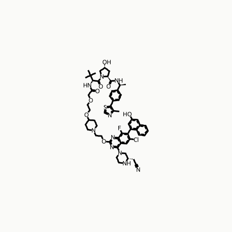 Cc1ncsc1-c1ccc([C@H](C)NC(=O)[C@@H]2C[C@@H](O)CN2C(=O)[C@@H](NC(=O)COCCOC2CCN(CCOc3nc(N4CCN[C@@H](CC#N)C4)c4cc(Cl)c(-c5cc(O)cc6ccccc56)c(F)c4n3)CC2)C(C)(C)C)cc1